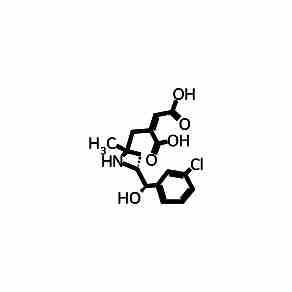 CC1(C/C(=C/C(=O)O)C(=O)O)C[C@H]([C@H](O)c2cccc(Cl)c2)N1